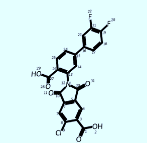 O=C(O)c1cc2c(cc1Cl)C(=O)N(c1cc(-c3ccc(F)c(F)c3)ccc1C(=O)O)C2=O